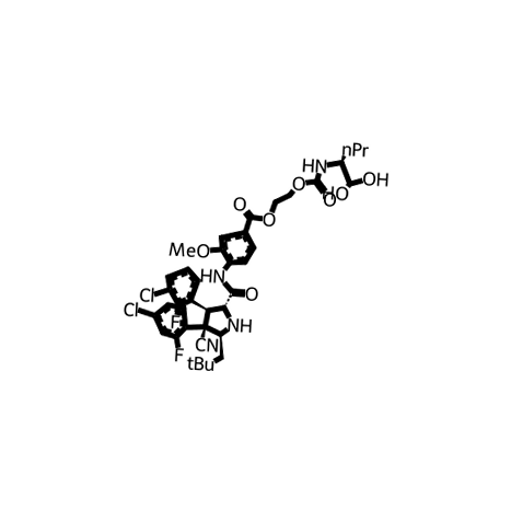 CCC[C@H](NC(=O)OCCOC(=O)c1ccc(NC(=O)[C@@H]2N[C@@H](CC(C)(C)C)[C@](C#N)(c3ccc(Cl)cc3F)[C@H]2c2cccc(Cl)c2F)c(OC)c1)C(O)O